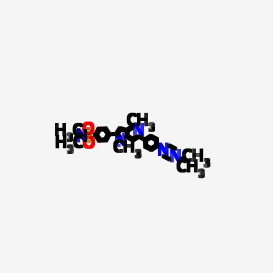 Cc1nc(-c2ccc(N3CCN(C(C)C)CC3)cc2)cc2c1cc(-c1ccc(S(=O)(=O)N(C)C)cc1)n2C